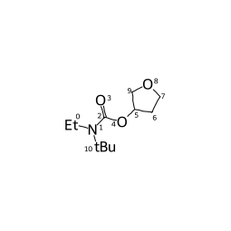 CCN(C(=O)OC1CCOC1)C(C)(C)C